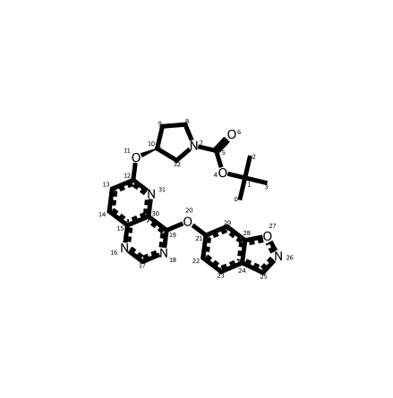 CC(C)(C)OC(=O)N1CC[C@H](Oc2ccc3ncnc(Oc4ccc5cnoc5c4)c3n2)C1